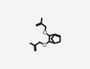 C=C(C)COC1C2=CCC(C2)C1OCC(=C)C